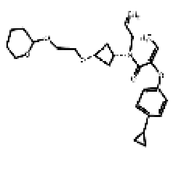 C=CCN(C(=O)/C(=C\C)Oc1ccc(C2CC2)cc1)[C@H]1C[C@@H](OCCOC2CCCCO2)C1